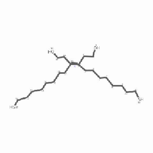 OCC/C(CCCCCCCCS)=C(\CCO)CCCCCCCCS